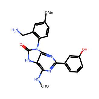 COc1ccc(-n2c(=O)[nH]c3c(N[C]=O)nc(-c4cccc(O)c4)nc32)c(CN)c1